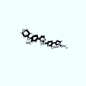 COc1nc(Nc2nccc(-c3ccc(OC4CCOCC4)c(C#N)c3)n2)ccc1C1CCN(C)C1